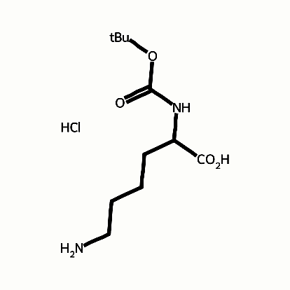 CC(C)(C)OC(=O)NC(CCCCN)C(=O)O.Cl